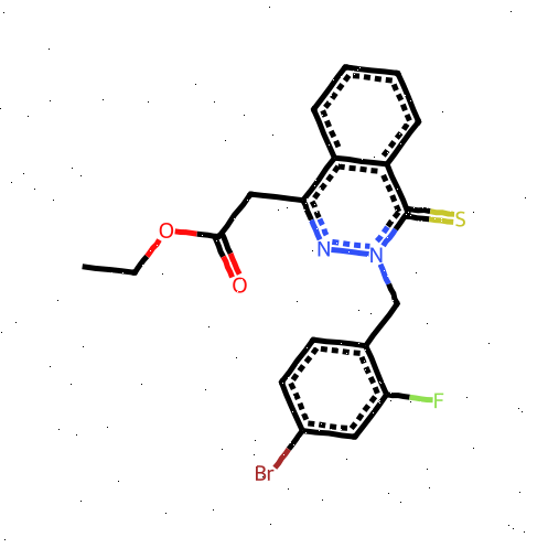 CCOC(=O)Cc1nn(Cc2ccc(Br)cc2F)c(=S)c2ccccc12